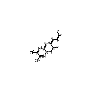 C=c1cc2nc(Cl)c(Cl)nc2c/c1=C/C=C\C